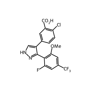 COc1cc(C(F)(F)F)cc(F)c1-c1n[nH]cc1-c1ccc(Cl)c(C(=O)O)c1